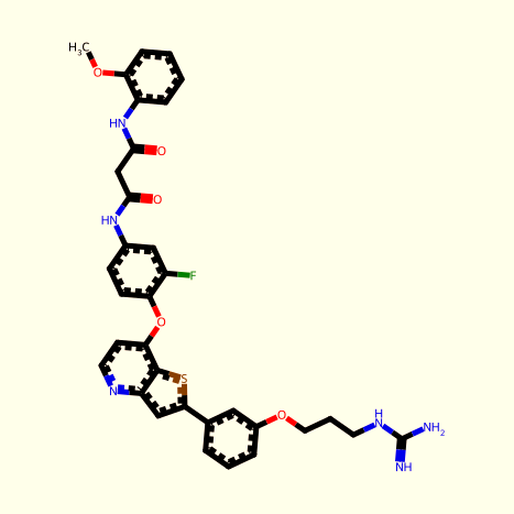 COc1ccccc1NC(=O)CC(=O)Nc1ccc(Oc2ccnc3cc(-c4cccc(OCCCNC(=N)N)c4)sc23)c(F)c1